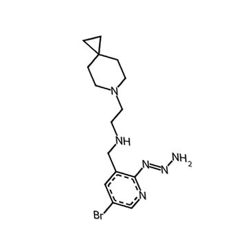 NN=Nc1ncc(Br)cc1CNCCN1CCC2(CC1)CC2